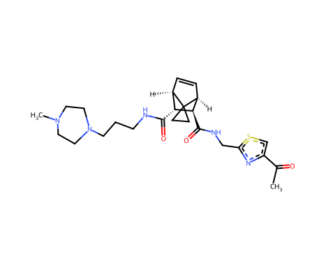 CC(=O)c1csc(CNC(=O)[C@H]2[C@H](C(=O)NCCCN3CCN(C)CC3)[C@H]3C=C[C@@H]2C32CC2)n1